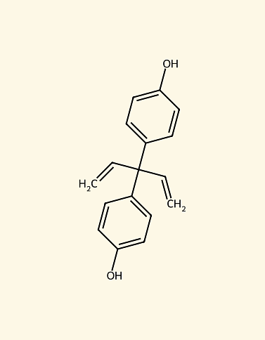 C=CC(C=C)(c1ccc(O)cc1)c1ccc(O)cc1